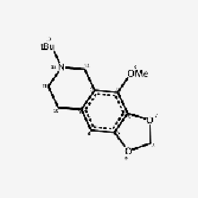 COc1c2c(cc3c1OCO3)CCN(C(C)(C)C)C2